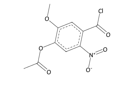 COc1cc(C(=O)Cl)c([N+](=O)[O-])cc1OC(C)=O